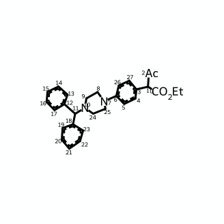 CCOC(=O)C(C(C)=O)c1ccc(N2CCN(C(c3ccccc3)c3ccccc3)CC2)cc1